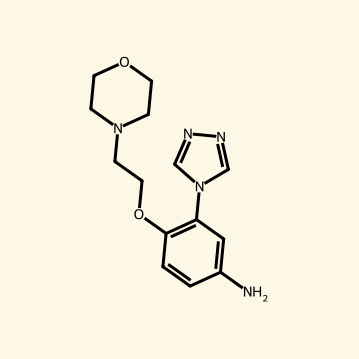 Nc1ccc(OCCN2CCOCC2)c(-n2cnnc2)c1